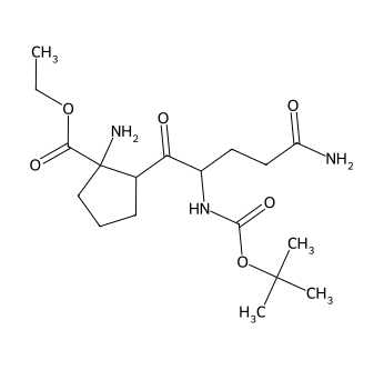 CCOC(=O)C1(N)CCCC1C(=O)C(CCC(N)=O)NC(=O)OC(C)(C)C